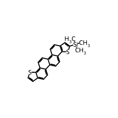 C[Si](C)(C)c1cc2ccc3c4ccc5c(ccc6ccsc65)c4ccc3c2s1